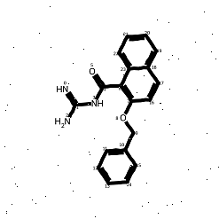 N=C(N)NC(=O)c1c(OCc2ccccc2)ccc2ccccc12